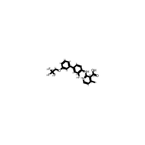 Cc1ccnc(Nc2ccc(-c3cccc(OCC(F)(F)F)c3)cc2F)c1C(=O)O